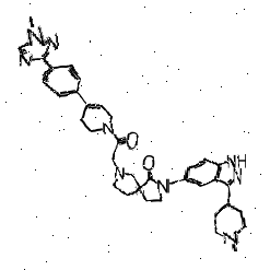 CN1CCC(c2n[nH]c3ccc(N4CC[C@]5(CCN(CC(=O)N6CC=C(c7ccc(-c8ncn(C)n8)cc7)CC6)C5)C4=O)cc23)CC1